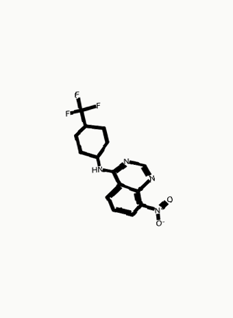 O=[N+]([O-])c1cccc2c(NC3CCC(C(F)(F)F)CC3)ncnc12